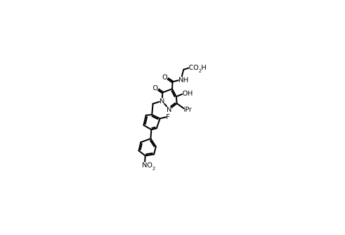 CC(C)c1nn(Cc2ccc(-c3ccc([N+](=O)[O-])cc3)cc2F)c(=O)c(C(=O)NCC(=O)O)c1O